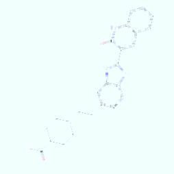 O=C(O)C1CCN(CCc2ccc3[nH]c(-c4cc5ccccc5[nH]c4=O)nc3c2)CC1